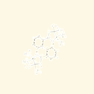 CC1(C)OB(c2ccccc2-c2ccccc2B2OC(C)(C)C(C)(C)O2)OC1(C)C